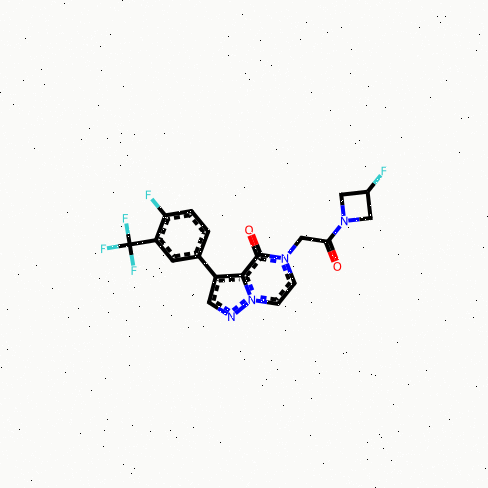 O=C(Cn1ccn2ncc(-c3ccc(F)c(C(F)(F)F)c3)c2c1=O)N1CC(F)C1